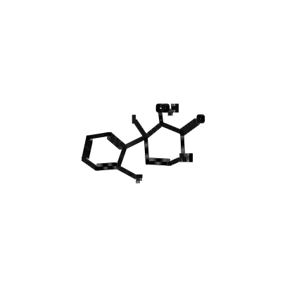 O=C(O)C1C(=O)NC=CC1(I)c1ccccc1F